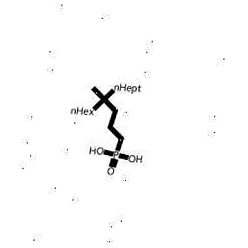 CCCCCCCC(C)(CCCCCC)CCCP(=O)(O)O